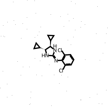 Clc1cccc(Cl)c1N=C1N[C@H](C2CC2)[C@@H](C2CC2)N1